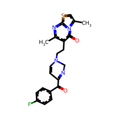 Cc1nc2scc(C)n2c(=O)c1CCN1C=CC(C(=O)c2ccc(F)cc2)=NC1